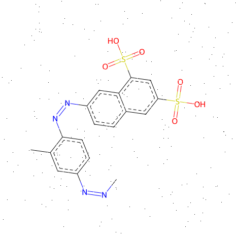 C/N=N\c1ccc(/N=N\c2ccc3cc(S(=O)(=O)O)cc(S(=O)(=O)O)c3c2)c(C)c1